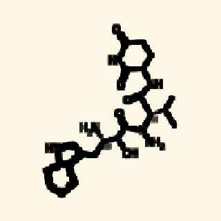 CC(C)[C@@H](C(=O)NC1CCC(=O)NC1=O)N(N)C(=O)C(O)[C@@H](N)Cc1c[nH]c2ccccc12